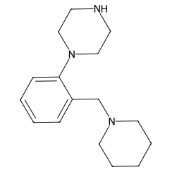 c1ccc(N2CCNCC2)c(CN2CCCCC2)c1